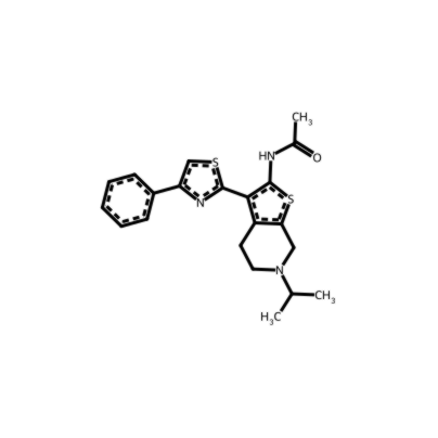 CC(=O)Nc1sc2c(c1-c1nc(-c3ccccc3)cs1)CCN(C(C)C)C2